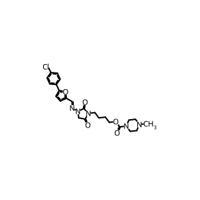 CN1CCN(C(=O)OCCCCN2C(=O)CN(N=Cc3ccc(-c4ccc(Cl)cc4)o3)C2=O)CC1